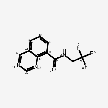 O=C(NCC(F)(F)F)c1cccc2cncnc12